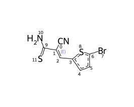 N#C/C(=C\c1ccc(Br)s1)C(N)=S